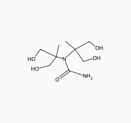 CC(CO)(CO)N(C(N)=O)C(C)(CO)CO